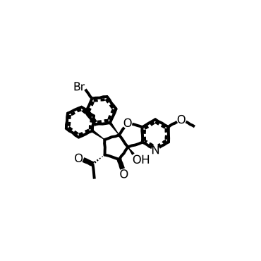 COc1cnc2c(c1)O[C@@]1(c3ccc(Br)cc3)[C@H](c3ccccc3)[C@@H](C(C)=O)C(=O)[C@@]21O